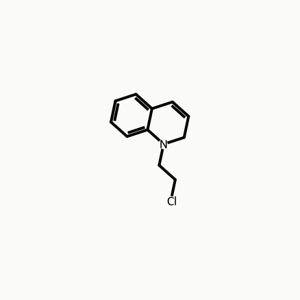 ClCCN1CC=Cc2ccccc21